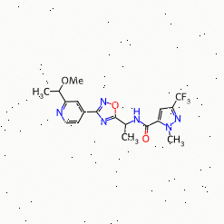 COC(C)c1cc(-c2noc(C(C)NC(=O)c3cc(C(F)(F)F)nn3C)n2)ccn1